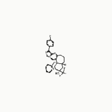 O[C@]1(C(F)(F)F)CC[C@@]2(Cc3ccccn3)c3cn4cnc(-c5ccc(F)cc5)c4nc3CCC[C@@H]2C1